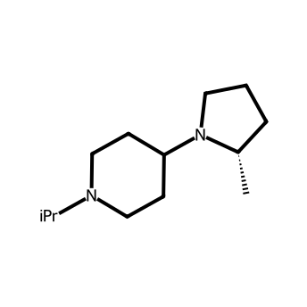 CC(C)N1CCC(N2CCC[C@@H]2C)CC1